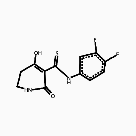 O=C1NCCC(O)=C1C(=S)Nc1ccc(F)c(F)c1